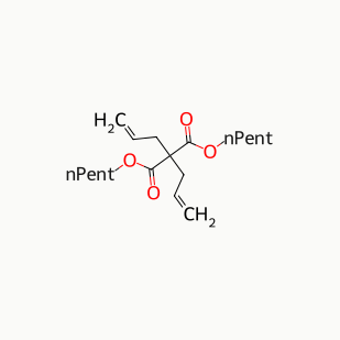 C=CCC(CC=C)(C(=O)OCCCCC)C(=O)OCCCCC